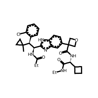 CCNC(=O)[C@H](NC(=O)C1(c2ccc3[nH]c([C@@H](NC(=O)CC)[C@H](c4ccccc4Cl)C4(C)CC4)nc3c2)COC1)C1CCC1